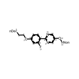 CCCCCCCCCCCCOc1ccc(-c2ncc(OCCCCCCCCC)cn2)c(F)c1